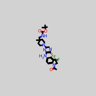 CC(=O)N1CC(F)(F)c2c(Sc3ncc(N4CCC(C)(CNC(=O)OC(C)(C)C)CC4)nc3N)cccc21